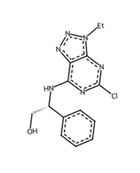 CCn1nnc2c(N[C@@H](CO)c3ccccc3)nc(Cl)nc21